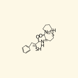 O=C(N[C@H]1CCS[C@H]2CCCCN2C1=O)[C@@H](S)Cc1ccccc1